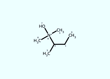 CCC(C)[N+](C)(C)O